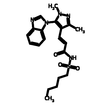 CCCCCS(=O)(=O)NC(=O)C=Cc1c(C)nn(C)c1-n1cnc2ccccc21